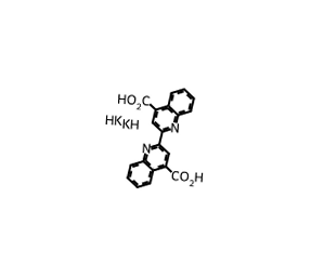 O=C(O)c1cc(-c2cc(C(=O)O)c3ccccc3n2)nc2ccccc12.[KH].[KH]